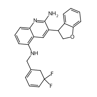 Nc1nc2cccc(NCC3=CC=CC(F)(F)C3)c2cc1C1COc2ccccc21